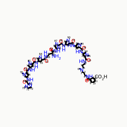 CN(CCCNC(=O)c1cccc(C(=O)O)c1)CCCNC(=O)c1cc(NC(=O)c2cc(NC(=O)c3cc(NC(=O)c4nc(NC(=O)[C@H](N)CCNC(=O)c5cc(NC(=O)c6cc(NC(=O)c7cc(NC(=O)c8nccn8C)cn7C)cn6C)cn5C)cn4C)cn3C)cn2C)cn1C